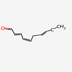 CCC=CC/C=C\C=C\C=O